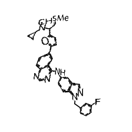 CSCC(c1ccc(-c2ccc3ncnc(Nc4ccc5c(cnn5Cc5cccc(F)c5)c4)c3c2)o1)N(C)C1CC1